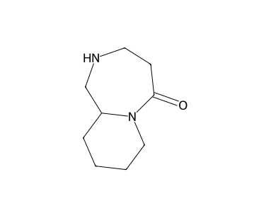 O=C1CCNCC2CCCCN12